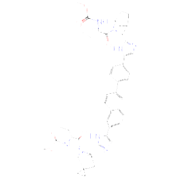 CC[C@H](NC(=O)OC)C(=O)N1C2CCC(C2)C1c1ncc(-c2ccc(-c3ccc4cc(-c5cnc([C@@H]6CC7(CC7)CN6C(=O)[C@@H](NC(=O)OC)C(C)C)[nH]5)ccc4c3)cc2)[nH]1